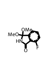 COC1(OC)NC(=O)c2c(F)cccc21